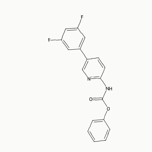 O=C(Nc1ccc(-c2cc(F)cc(F)c2)cn1)Oc1ccccc1